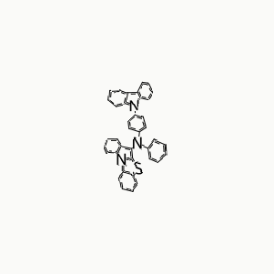 c1ccc(N(c2ccc(-n3c4ccccc4c4ccccc43)cc2)c2c3ccccc3n3c2sc2ccccc23)cc1